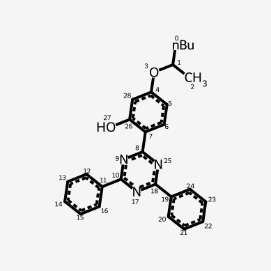 CCCCC(C)Oc1ccc(-c2nc(-c3ccccc3)nc(-c3ccccc3)n2)c(O)c1